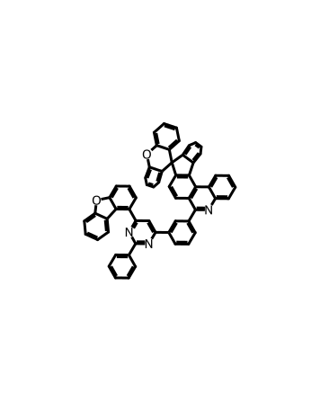 c1ccc(-c2nc(-c3cccc(-c4nc5ccccc5c5c6c(ccc45)C4(c5ccccc5Oc5ccccc54)c4ccccc4-6)c3)cc(-c3cccc4oc5ccccc5c34)n2)cc1